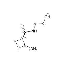 NN1CC[C@H]1C(=O)NCCO